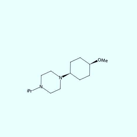 CO[C@H]1CC[C@@H](N2CCN(C(C)C)CC2)CC1